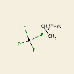 CN(C)O.F[B-](F)(F)F